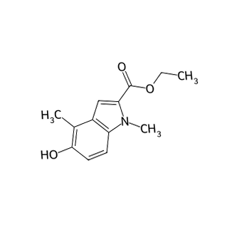 CCOC(=O)c1cc2c(C)c(O)ccc2n1C